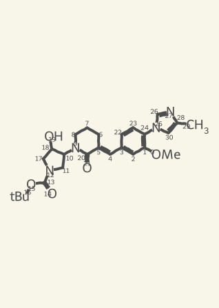 COc1cc(/C=C2\CCCN(C3CN(C(=O)OC(C)(C)C)CC3O)C2=O)ccc1-n1cnc(C)c1